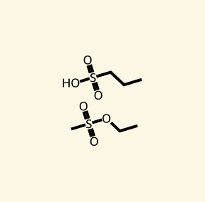 CCCS(=O)(=O)O.CCOS(C)(=O)=O